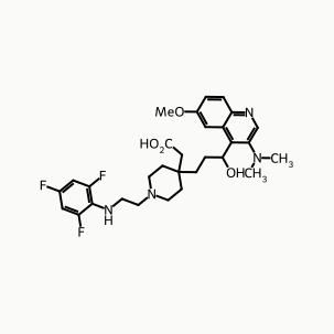 COc1ccc2ncc(N(C)C)c(C(O)CCC3(CC(=O)O)CCN(CCNc4c(F)cc(F)cc4F)CC3)c2c1